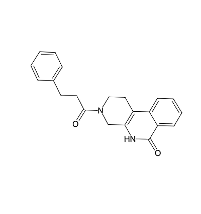 O=C(CCc1ccccc1)N1CCc2c([nH]c(=O)c3ccccc23)C1